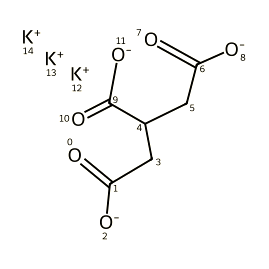 O=C([O-])CC(CC(=O)[O-])C(=O)[O-].[K+].[K+].[K+]